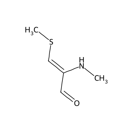 CN/C(C=O)=C\SC